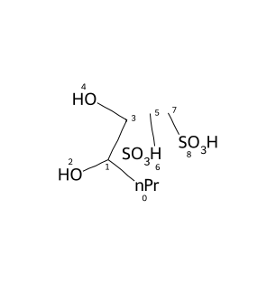 CCCC(O)CO.CS(=O)(=O)O.CS(=O)(=O)O